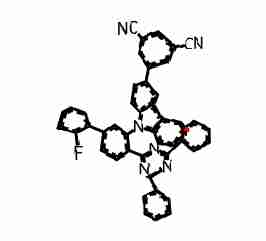 N#Cc1cc(C#N)cc(-c2ccc3c(c2)c2ccccc2n3-c2cc(-c3ccccc3F)ccc2-c2nc(-c3ccccc3)nc(-c3ccccc3)n2)c1